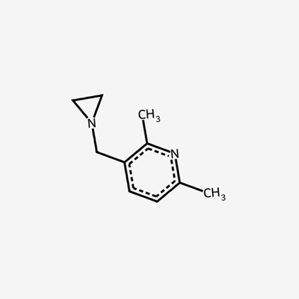 Cc1ccc(CN2CC2)c(C)n1